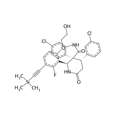 C[Si](C)(C)C#Cc1ccc(OCCO)c([C@@H]2NC(=O)C[C@@H](c3cccc(Cl)c3)[C@]23C(=O)Nc2cc(Cl)ccc23)c1F